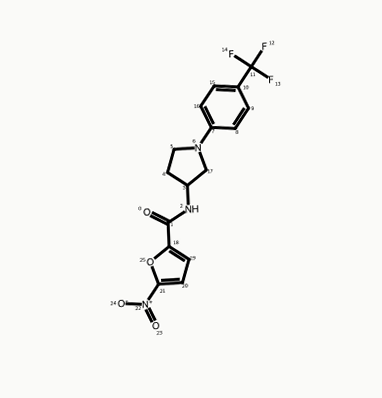 O=C(NC1CCN(c2ccc(C(F)(F)F)cc2)C1)c1ccc([N+](=O)[O-])o1